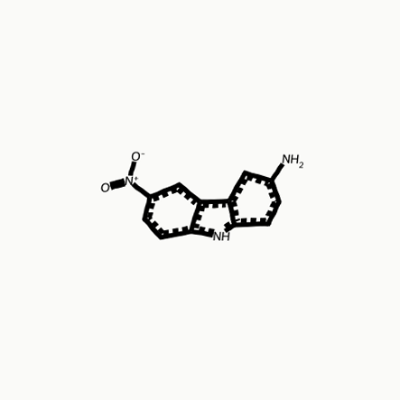 Nc1ccc2[nH]c3ccc([N+](=O)[O-])cc3c2c1